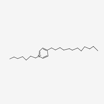 CCCCCCCCCCCCc1cc[n+](CCCCCCC)cc1